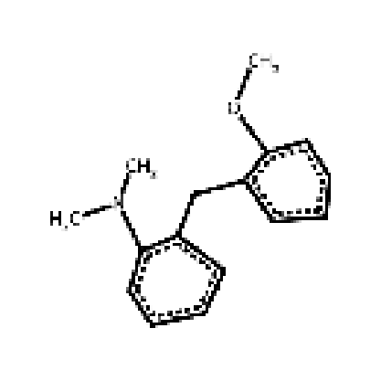 COc1ccccc1Cc1cc[c]cc1N(C)C